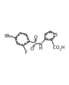 CC(C)(C)c1ccc(S(=O)(=O)Nc2ccsc2C(=O)O)c(F)c1